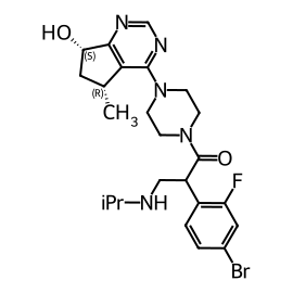 CC(C)NCC(C(=O)N1CCN(c2ncnc3c2[C@H](C)C[C@@H]3O)CC1)c1ccc(Br)cc1F